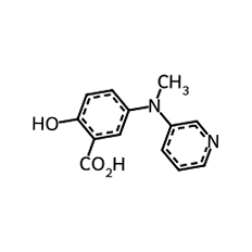 CN(c1cccnc1)c1ccc(O)c(C(=O)O)c1